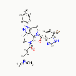 CC(C)c1ccc(-n2nc3c4c2CCN(C(=O)c2ccc(Br)c5[nH]cnc25)C4CN(C(=O)C=CCN(C)C)CC3)cc1